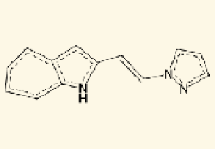 C(=Cn1cccn1)c1cc2ccccc2[nH]1